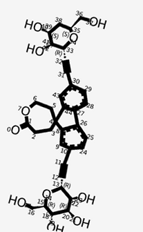 O=C1CCC2(CCO1)c1cc(C#C[C@H]3O[C@H](CO)[C@@H](O)[C@H](O)[C@@H]3O)ccc1-c1ccc(C#C[C@H]3O[C@H](CO)C[C@H](O)[C@@H]3O)cc12